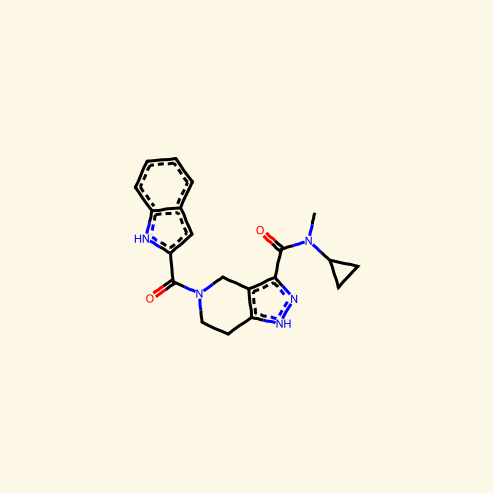 CN(C(=O)c1n[nH]c2c1CN(C(=O)c1cc3ccccc3[nH]1)CC2)C1CC1